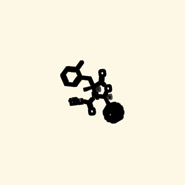 Cc1ccccc1C[C@]1(C)C(=O)O[C@@H]([C]23[CH]4[CH]5[CH]6[CH]2[Fe]56432789[CH]3[CH]2[CH]7[CH]8[CH]39)N1C(=O)C(C)(C)C